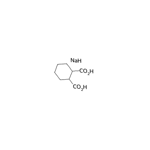 O=C(O)C1CCCCC1C(=O)O.[NaH]